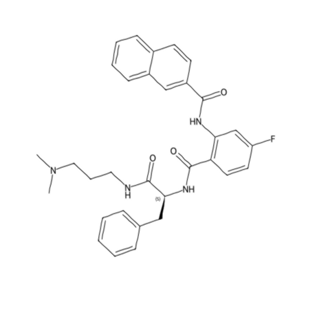 CN(C)CCCNC(=O)[C@H](Cc1ccccc1)NC(=O)c1ccc(F)cc1NC(=O)c1ccc2ccccc2c1